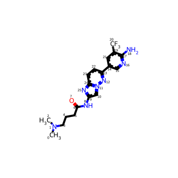 CN(C)CCCC(=O)Nc1cn2nc(-c3cnc(N)c(C(F)(F)F)c3)ccc2n1